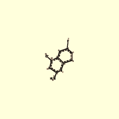 Nc1nc2ccc(F)cc2[n+]([O-])n1